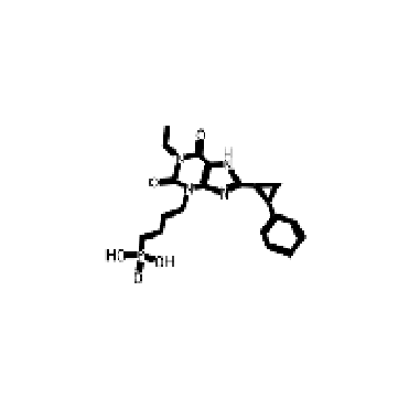 CCn1c(=O)c2[nH]c(C3CC3c3ccccc3)nc2n(CCCCP(=O)(O)O)c1=O